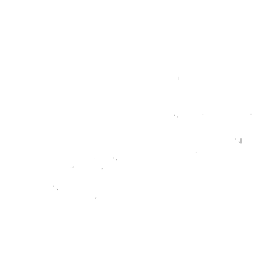 CC(C)N1CC2CC(OCCC(C)N3CC4CC(O)C3C4N)C1C2N